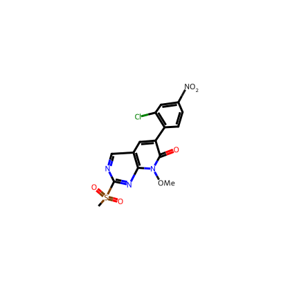 COn1c(=O)c(-c2ccc([N+](=O)[O-])cc2Cl)cc2cnc(S(C)(=O)=O)nc21